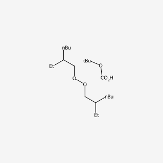 CC(C)(C)OC(=O)O.CCCCC(CC)COOCC(CC)CCCC